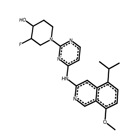 COc1ccc(C(C)C)c2cc(Nc3ccnc(N4CCC(O)C(F)C4)n3)ncc12